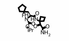 CC(C)OC(=O)N[C@@H](CC1(F)CCCC1)C(=O)NC1(C(=O)C(N)=O)CCC1